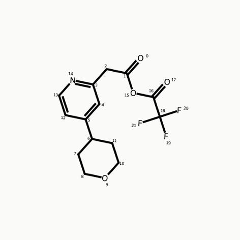 O=C(Cc1cc(C2CCOCC2)ccn1)OC(=O)C(F)(F)F